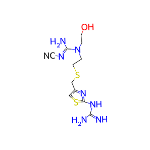 N#CN=C(N)N(CCO)CCSCc1csc(NC(=N)N)n1